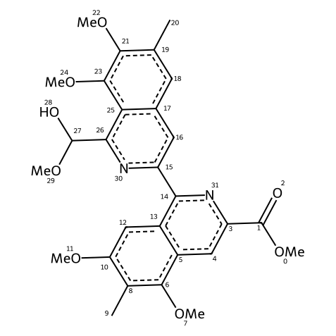 COC(=O)c1cc2c(OC)c(C)c(OC)cc2c(-c2cc3cc(C)c(OC)c(OC)c3c(C(O)OC)n2)n1